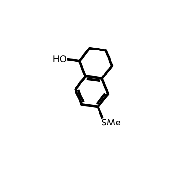 CSc1ccc2c(c1)CCCC2O